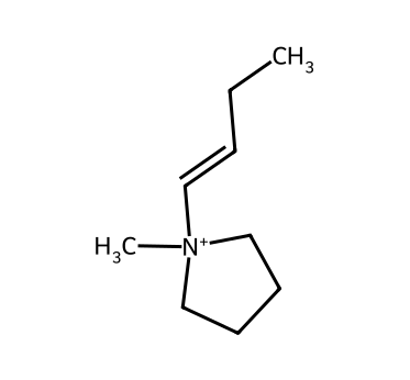 CCC=C[N+]1(C)CCCC1